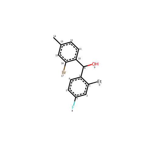 CCc1cc(F)ccc1C(O)c1ccc(C)cc1Br